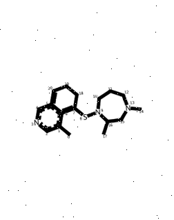 Cc1cncc2c1=C(SN1CCCN(C)CC1C)CCC=2